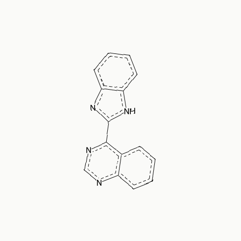 c1ccc2[nH]c(-c3ncnc4ccccc34)nc2c1